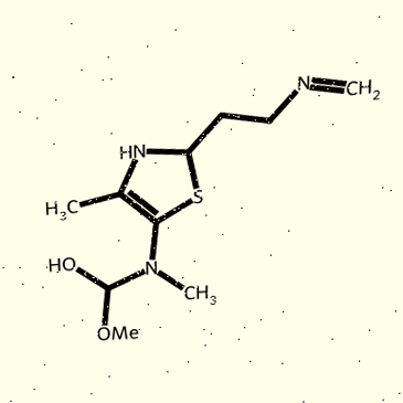 C=NCCC1NC(C)=C(N(C)C(O)OC)S1